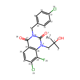 CC(=O)C(C)(O)Cn1c(=O)n(Cc2ccc(Cl)cc2)c(=O)c2ccc(Cl)c(F)c21